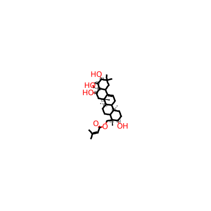 CC(C)=CC(=O)OC[C@]1(C)C2CC[C@]3(C)C(CC=C4C5CC(C)(C)[C@@H](O)[C@H](C)[C@]5(CO)[C@H](O)C[C@]43C)[C@@]2(C)CC[C@@H]1O